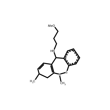 COCCCNC1C2=C(CC(C)C=C2)N(C)Sc2ccccc21